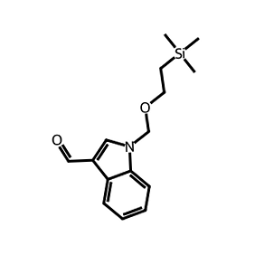 C[Si](C)(C)CCOCn1cc(C=O)c2ccccc21